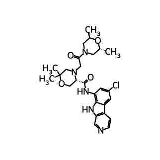 C[C@@H]1CN(C(=O)CN2CC(C)(C)OC[C@H]2C(=O)Nc2cc(Cl)cc3c2[nH]c2cnccc23)C[C@@H](C)O1